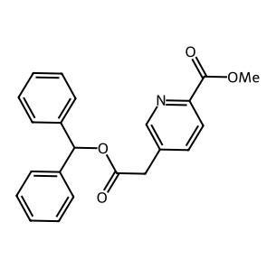 COC(=O)c1ccc(CC(=O)OC(c2ccccc2)c2ccccc2)cn1